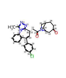 Cc1nnc2n1-c1ccccc1C(c1ccc(Cl)cc1)=C[C@H]2CC(=O)N1CC2CCC(=O)CC1C2